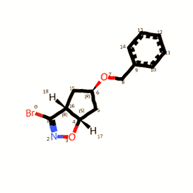 BrC1=NO[C@H]2C[C@H](OCc3ccccc3)C[C@@H]12